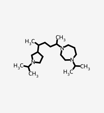 CC(CCC(C)N1CCCN(C(C)C)CC1)C1CCN(C(C)C)C1